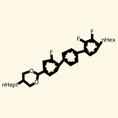 CCCCCCCC1COC(c2ccc(-c3ccc(-c4ccc(CCCCCC)c(F)c4F)cc3)c(F)c2)OC1